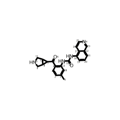 Cc1ccc(C(=O)C2C3CNCC32)c(NC(=O)Nc2cccc3cnccc23)c1